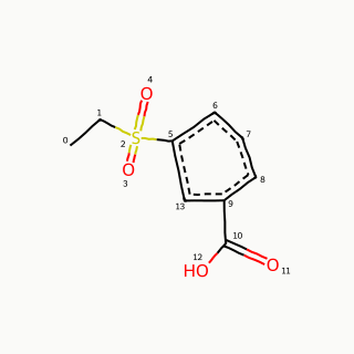 CCS(=O)(=O)c1cccc(C(=O)O)c1